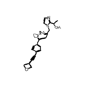 CC(O)c1nccn1Cc1cc(-c2ccc(C#CC3COC3)cc2)on1